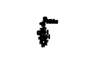 CNC(=O)[C@@H]1C[C@H]1CCNC(=O)c1cc2ccccc2[nH]1